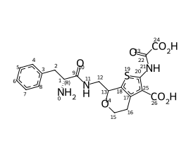 N[C@H](Cc1ccccc1)C(=O)NCC1OCCc2c1sc(NC(=O)C(=O)O)c2C(=O)O